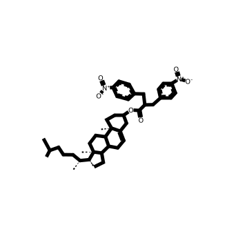 CC(C)CCC[C@@H](C)[C@H]1CCC2C3CC=C4CC(OC(=O)C(Cc5ccc([N+](=O)[O-])cc5)Cc5ccc([N+](=O)[O-])cc5)CC[C@]4(C)C3CC[C@@]21C